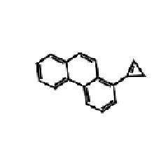 C1=C(c2cccc3c2ccc2ccccc23)C1